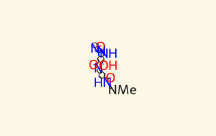 CNCCNC(=O)c1ccc2c(c1)CN(C(=O)c1cc3c(CN4CCCC4=O)n[nH]c3cc1O)C2